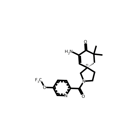 CC1(C)C[C@]2(C=C(N)C1=O)CCN(C(=O)c1ccc(OC(F)(F)F)cn1)C2